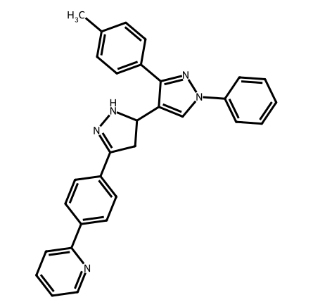 Cc1ccc(-c2nn(-c3ccccc3)cc2C2CC(c3ccc(-c4ccccn4)cc3)=NN2)cc1